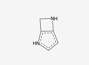 c1cc2c([nH]1)CN2